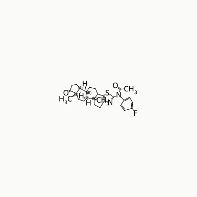 CC(=O)N(c1ccc(F)cc1)c1nc2c(s1)C1CC[C@@H]3[C@H](CC[C@]4(C)C(=O)CC[C@@H]34)[C@@]1(C)CC2